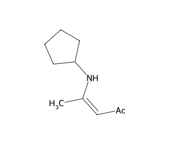 CC(=O)/C=C(/C)NC1CCCC1